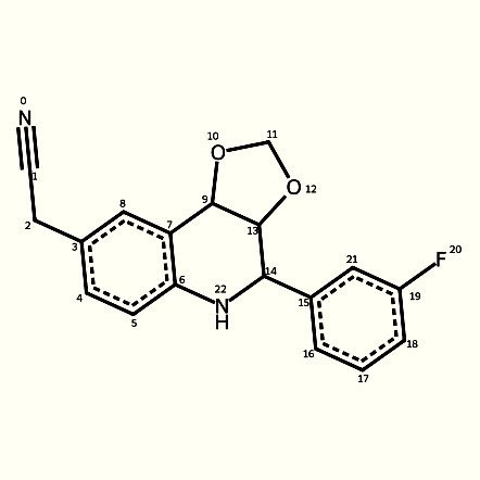 N#CCc1ccc2c(c1)C1OCOC1C(c1cccc(F)c1)N2